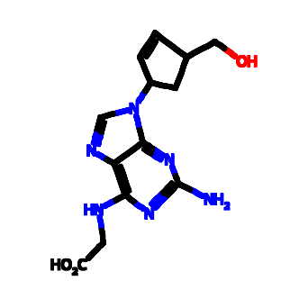 Nc1nc(NCC(=O)O)c2ncn(C3C=CC(CO)C3)c2n1